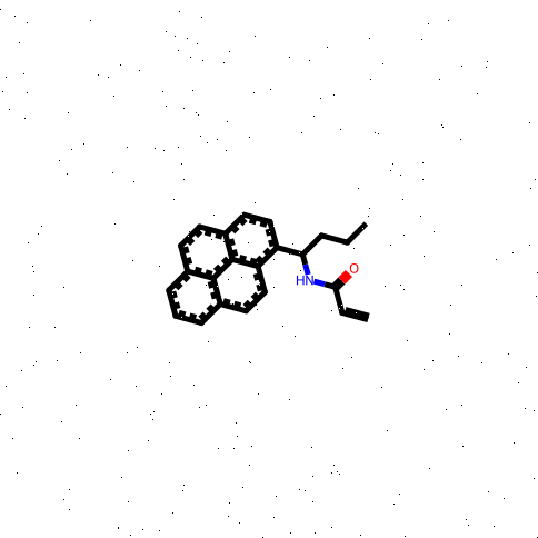 C=CC(=O)NC(CCC)c1ccc2ccc3cccc4ccc1c2c34